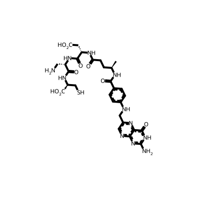 C[C@H](CCC(=O)N[C@@H](CC(=O)O)C(=O)N[C@@H](CN)C(=O)N[C@@H](CS)C(=O)O)NC(=O)c1ccc(NCc2cnc3nc(N)[nH]c(=O)c3n2)cc1